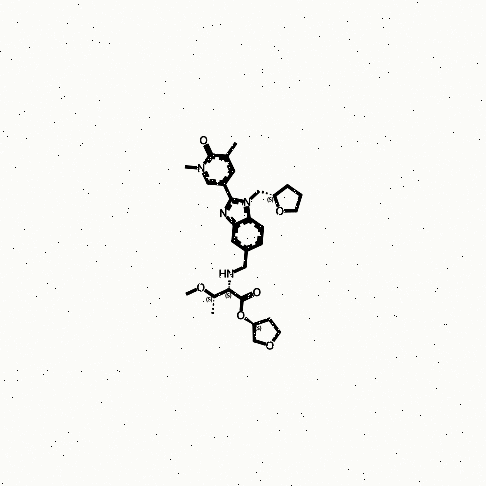 CO[C@@H](C)[C@H](NCc1ccc2c(c1)nc(-c1cc(C)c(=O)n(C)c1)n2C[C@@H]1CCCO1)C(=O)O[C@H]1CCOC1